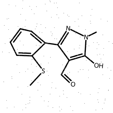 CSc1ccccc1-c1nn(C)c(O)c1C=O